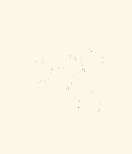 CC(=O)[n+]1c(-c2ccccn2)c(NC2CCCCC2)n2cccnc21.[Cl-]